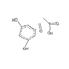 C=O.CC(=O)O.Oc1cccc(O)c1